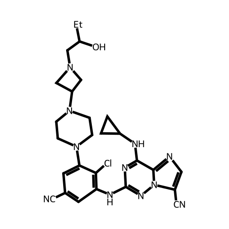 CCC(O)CN1CC(N2CCN(c3cc(C#N)cc(Nc4nc(NC5CC5)c5ncc(C#N)n5n4)c3Cl)CC2)C1